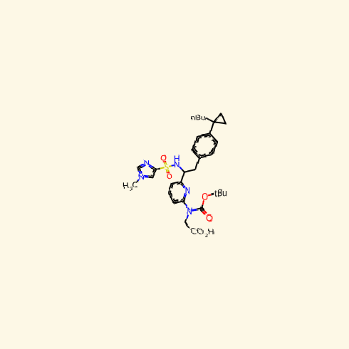 CCCCC1(c2ccc(CC(NS(=O)(=O)c3cn(C)cn3)c3cccc(N(CC(=O)O)C(=O)OC(C)(C)C)n3)cc2)CC1